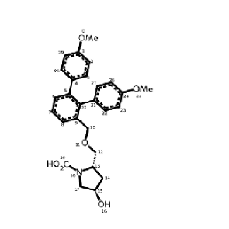 COc1ccc(-c2cccc(COC[C@@H]3C[C@@H](O)CN3C(=O)O)c2-c2ccc(OC)cc2)cc1